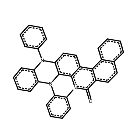 O=c1c2ccc3ccccc3c2c2ccc3c4c2n1-c1ccccc1B4c1ccccc1N3c1ccccc1